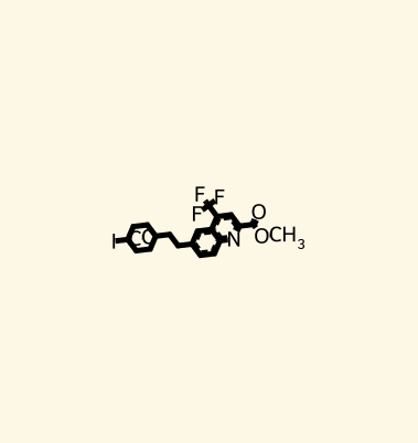 COC(=O)c1cc(C(F)(F)F)c2cc(CCC34CCC(I)(CC3)CC4)ccc2n1